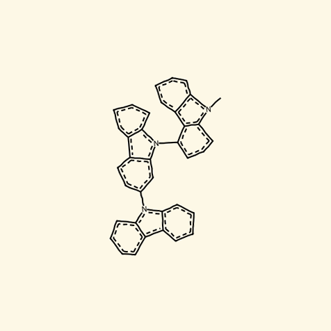 Cn1c2ccccc2c2c(-n3c4ccccc4c4ccc(-n5c6ccccc6c6ccccc65)cc43)cccc21